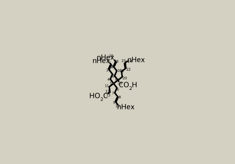 CCCCCC/C=C/CCC(CC/C=C/CCCCCC)(CCC(=O)O)C(CC/C=C/CCCCCC)(CC/C=C/CCCCCC)C(=O)O